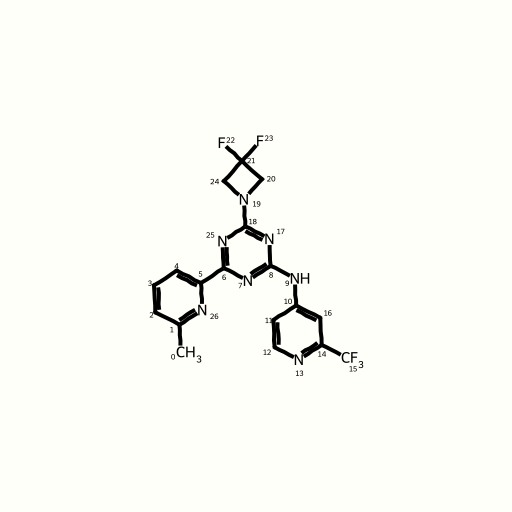 Cc1cccc(-c2nc(Nc3ccnc(C(F)(F)F)c3)nc(N3CC(F)(F)C3)n2)n1